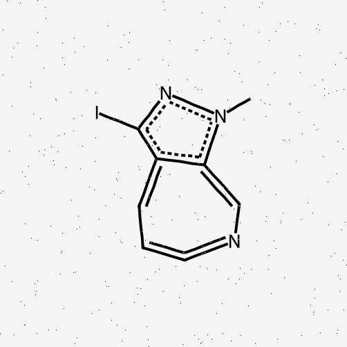 Cn1nc(I)c2c1=CN=C=CC=2